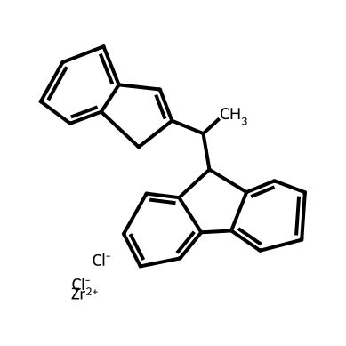 CC(C1=Cc2ccccc2C1)C1c2ccccc2-c2ccccc21.[Cl-].[Cl-].[Zr+2]